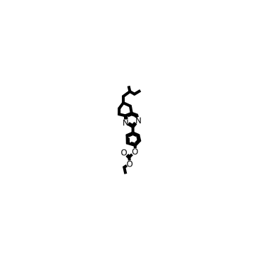 CCOC(=O)Oc1ccc(-c2ncc3c(n2)CCC(CC(C)CC)C3)cc1